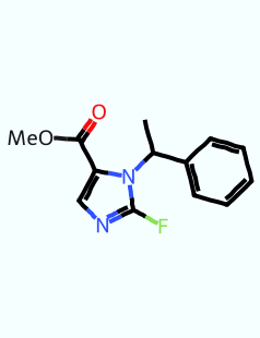 COC(=O)c1cnc(F)n1C(C)c1ccccc1